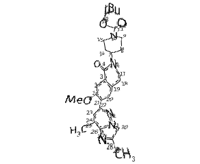 COc1cc2c(=O)n(C3CCN(C(=O)OC(C)(C)C)CC3)ccc2cc1-c1cc(C)c2nc(C)cn2n1